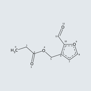 CCC(=O)OCc1ccoc1C=O